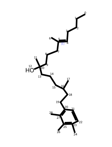 CCCC/C=C(\C)CCCC(C)(O)CCCC(C)CCc1ccc(C)c(C)c1C